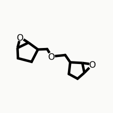 C1CC2OC2C1COCC1CCC2OC12